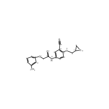 Cc1cccc(OCC(=O)Nc2ccc(OCC3CO3)c(C#N)c2)c1